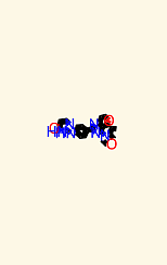 CCC1COCCN1c1nc(-c2ccc(Nc3nccc(=O)[nH]3)cc2)nc2c1COCC2